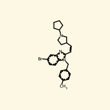 Cc1ccc(Cn2c(/C=C\C3CCN(C4CCCC4)C3)nc3cc(Br)ccc32)cc1